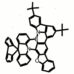 CC(C)(C)c1ccc2c(c1)c1cc(C(C)(C)C)cc3c1n2B1c2cccc4c2N(c2ccccc2C42c4ccccc4-c4ccccc42)c2c1c-3cc1c2oc2ccccc21